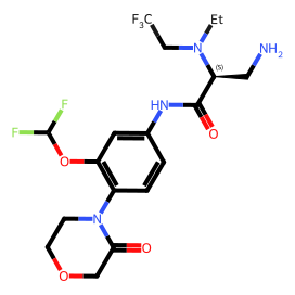 CCN(CC(F)(F)F)[C@@H](CN)C(=O)Nc1ccc(N2CCOCC2=O)c(OC(F)F)c1